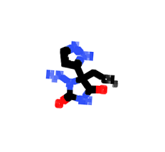 CCC1(c2ccn[nH]2)C(=O)NC(=O)N1N